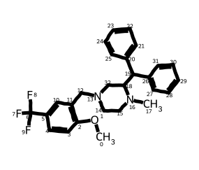 COc1ccc(C(F)(F)F)cc1CN1CCN(C)C(C(c2ccccc2)c2ccccc2)C1